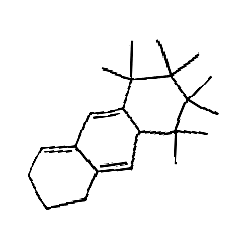 CC1(C)C2=CC3=CCCCC3=CC2C(C)(C)C(C)(C)C1(C)C